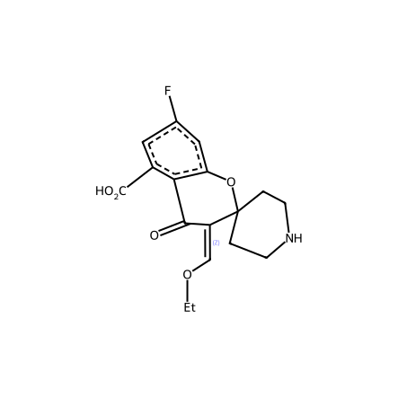 CCO/C=C1\C(=O)c2c(cc(F)cc2C(=O)O)OC12CCNCC2